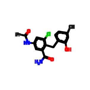 CC(C)C(=O)Nc1cc(Cl)c(Cc2ccc(C#N)cc2O)c(C(N)=O)c1